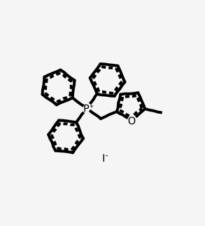 Cc1ccc(C[P+](c2ccccc2)(c2ccccc2)c2ccccc2)o1.[I-]